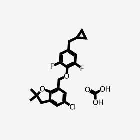 CC1(C)Cc2cc(Cl)cc(COc3c(F)cc(CC4CC4)cc3F)c2O1.O=C(O)O